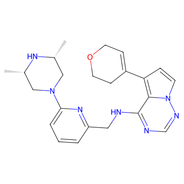 C[C@@H]1CN(c2cccc(CNc3ncnn4ccc(C5=CCOCC5)c34)n2)C[C@H](C)N1